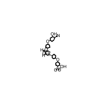 N#Cc1ccc(Oc2ccc([C@@]34C[C@@H]5C[C@@](c6ccc(Oc7ccc([N+](=O)[O-])c(O)c7)cc6)(C3)O[C@H](O5)O4)cc2)cc1O